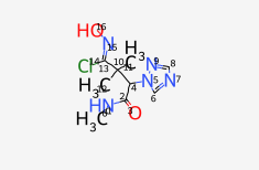 CNC(=O)C(n1cncn1)C(C)(C)C(Cl)=NO